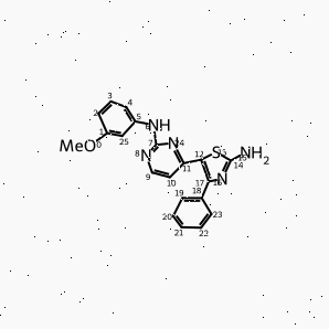 COc1cccc(Nc2nccc(-c3sc(N)nc3-c3ccccc3)n2)c1